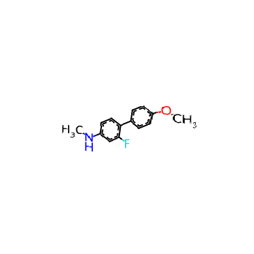 CNc1ccc(-c2ccc(OC)cc2)c(F)c1